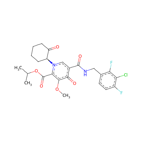 COc1c(C(=O)OC(C)C)n([C@H]2CCCCC2=O)cc(C(=O)NCc2ccc(F)c(Cl)c2F)c1=O